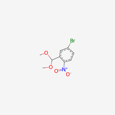 COC(OC)c1cc(Br)ccc1[N+](=O)[O-]